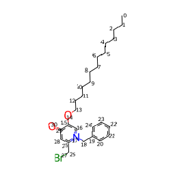 CCCCCCCCCCCCCCOc1cn(Cc2ccccc2)c(CBr)cc1=O